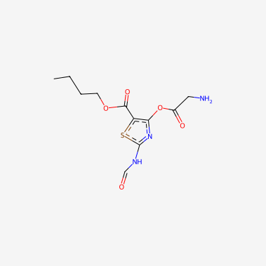 CCCCOC(=O)c1sc(NC=O)nc1OC(=O)CN